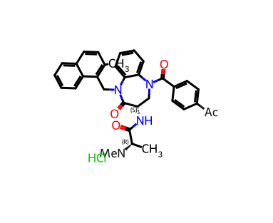 CN[C@H](C)C(=O)N[C@H]1CN(C(=O)c2ccc(C(C)=O)cc2)c2ccccc2N(Cc2c(C)ccc3ccccc23)C1=O.Cl